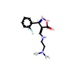 CN(C)CCN/C=C1\C(=O)ON=C1c1ccccc1F